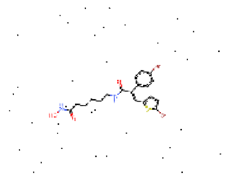 O=C(CCCCCNC(=O)/C(=C/c1ccc(Br)s1)c1ccc(Br)cc1)NO